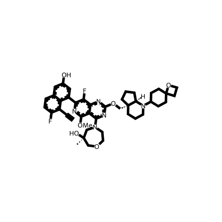 C#Cc1c(F)ccc2cc(O)cc(-c3nc(OC)c4c(N5CCOC[C@@](C)(O)C5)nc(OC[C@]56CCC[C@H]5N(C5CCC7(CCO7)CC5)CCC6)nc4c3F)c12